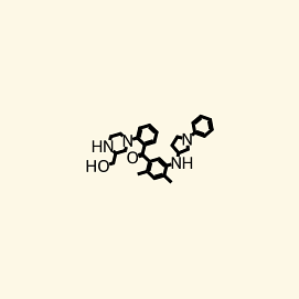 Cc1cc(C)c(C(=O)c2ccccc2N2CCNC(CO)C2)cc1NC1CCN(c2ccccc2)C1